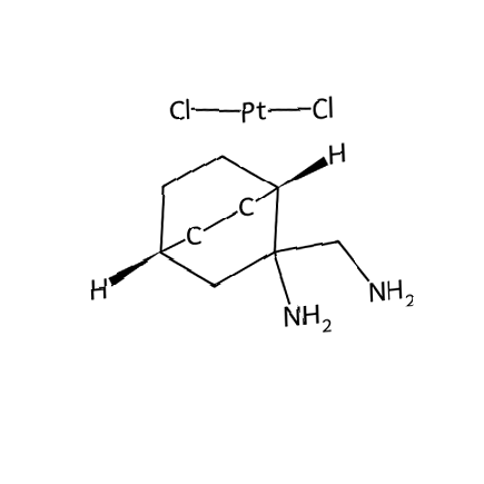 NCC1(N)C[C@H]2CC[C@@H]1CC2.[Cl][Pt][Cl]